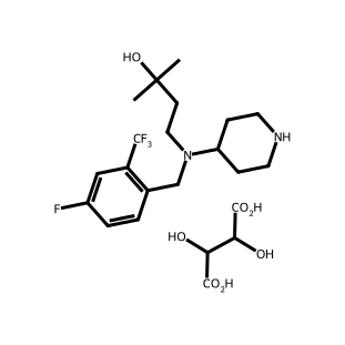 CC(C)(O)CCN(Cc1ccc(F)cc1C(F)(F)F)C1CCNCC1.O=C(O)C(O)C(O)C(=O)O